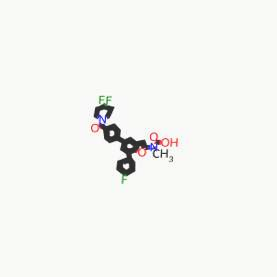 CN(C(=O)O)c1cc2cc(-c3ccc(C(=O)N4CCC(F)(F)CC4)cc3)cc(-c3ccc(F)cc3)c2o1